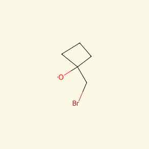 [O]C1(CBr)CCC1